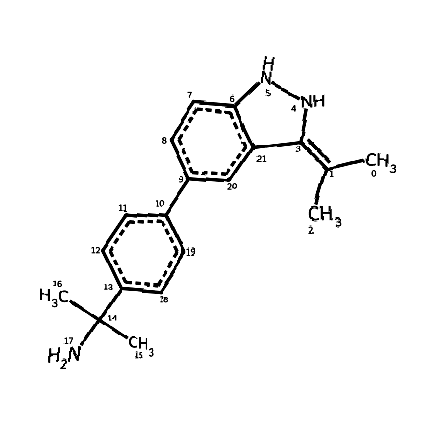 CC(C)=C1NNc2ccc(-c3ccc(C(C)(C)N)cc3)cc21